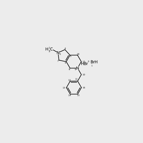 Br.Br.CN1CC2=C(C1)CN(Cc1ccccc1)CC2